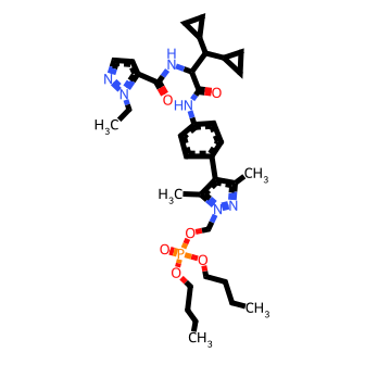 CCCCOP(=O)(OCCCC)OCn1nc(C)c(-c2ccc(NC(=O)C(NC(=O)c3ccnn3CC)C(C3CC3)C3CC3)cc2)c1C